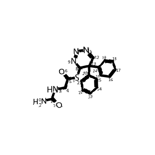 NC(=O)NCC(=O)SC1N=NN=CC1(c1ccccc1)c1ccccc1